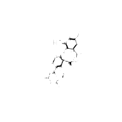 COc1c(C(CC(C)C)OC=O)ccc2c1C(=O)OCc1cc(C)cc(O)c1O2